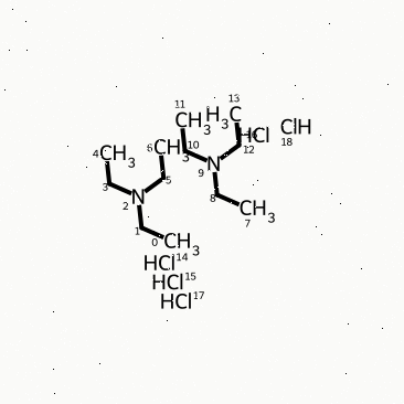 CCN(CC)CC.CCN(CC)CC.Cl.Cl.Cl.Cl.Cl